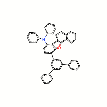 c1ccc(-c2cc(-c3ccccc3)cc(-c3ccc(N(c4ccccc4)c4ccccc4)c4c3oc3c5ccccc5ccc34)c2)cc1